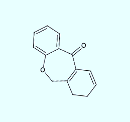 O=C1C2=C(CCC=C2)COc2ccccc21